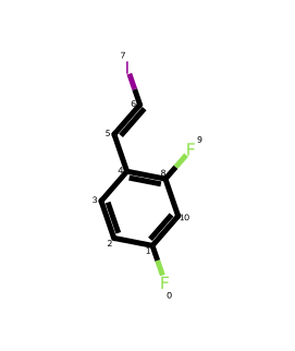 Fc1ccc(C=CI)c(F)c1